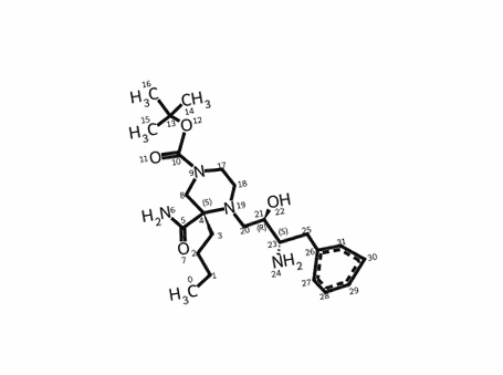 CCCC[C@@]1(C(N)=O)CN(C(=O)OC(C)(C)C)CCN1C[C@@H](O)[C@@H](N)Cc1ccccc1